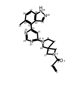 C=CC(=O)N1CC2(CCN(c3cc(-c4c(C)ccc5[nH]ncc45)ncn3)C2)C1